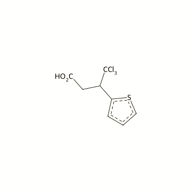 O=C(O)CC(c1cccs1)C(Cl)(Cl)Cl